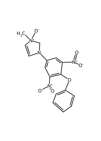 C[N+]1([O-])C=CN(c2cc([N+](=O)[O-])c(Oc3ccccc3)c([N+](=O)[O-])c2)C1